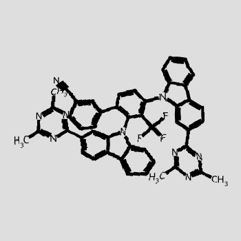 Cc1nc(C)nc(-c2ccc3c4ccccc4n(-c4ccc(-c5cccc(C#N)c5)c(-n5c6ccccc6c6ccc(-c7nc(C)nc(C)n7)cc65)c4C(F)(F)F)c3c2)n1